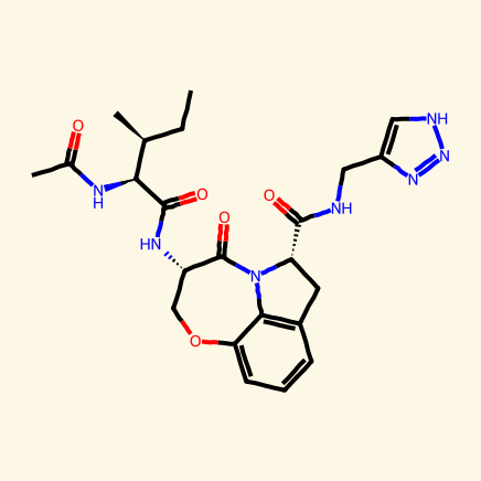 CC[C@H](C)[C@H](NC(C)=O)C(=O)N[C@H]1COc2cccc3c2N(C1=O)[C@H](C(=O)NCc1c[nH]nn1)C3